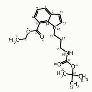 CCOC(=O)c1cccc2ccn(CCCNC(=O)OC(C)(C)C)c12